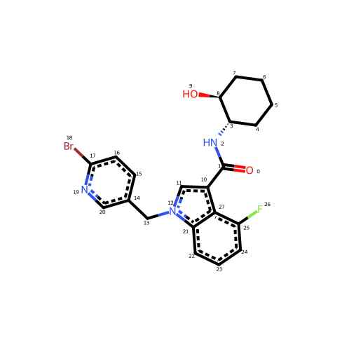 O=C(N[C@H]1CCCC[C@@H]1O)c1cn(Cc2ccc(Br)nc2)c2cccc(F)c12